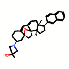 CC1(O)CN([C@H]2CCC3=CC4=CC[C@]5(C)[C@@H](c6ccc7ccccc7c6)CC[C@H]5[C@@]45CC[C@]3(C2)O5)C1